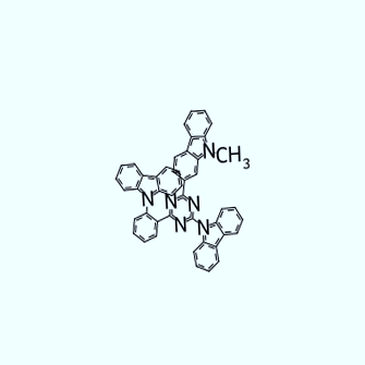 Cn1c2ccccc2c2ccc(-c3nc(-c4ccccc4-n4c5ccccc5c5ccccc54)nc(-n4c5ccccc5c5ccccc54)n3)cc21